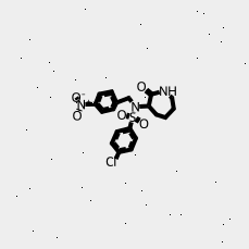 O=C1NCCCCC1N(Cc1ccc([N+](=O)[O-])cc1)S(=O)(=O)c1ccc(Cl)cc1